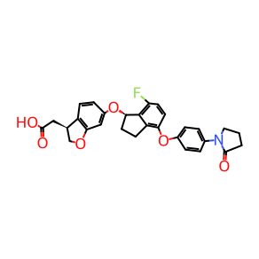 O=C(O)C[C@@H]1COc2cc(O[C@@H]3CCc4c(Oc5ccc(N6CCCC6=O)cc5)ccc(F)c43)ccc21